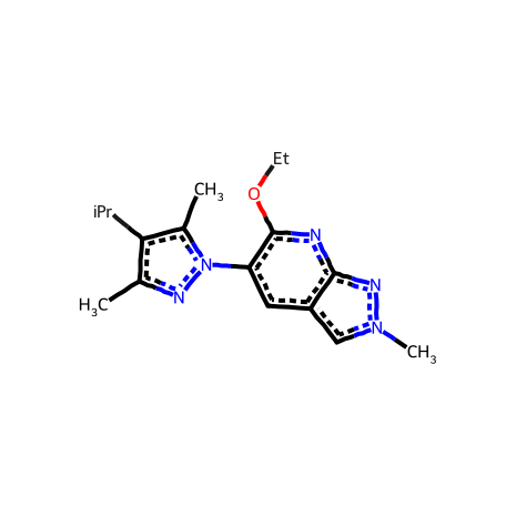 CCOc1nc2nn(C)cc2cc1-n1nc(C)c(C(C)C)c1C